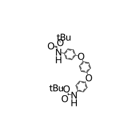 CC(C)(C)OC(=O)Nc1ccc(Oc2ccc(Oc3ccc(NC(=O)OC(C)(C)C)cc3)cc2)cc1